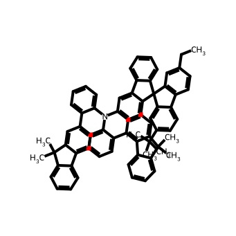 CCc1ccc2c(c1)C1(c3ccccc3-c3cc(N(c4ccccc4-c4ccc5c(c4)C(C)(C)c4ccccc4-5)c4ccccc4-c4cccc5c4-c4ccccc4C5(C)C)ccc31)c1cc(C(C)(C)C)ccc1-2